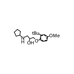 COc1ccc(OCC(O)CNC2CCCC2)c(C(C)(C)C)c1